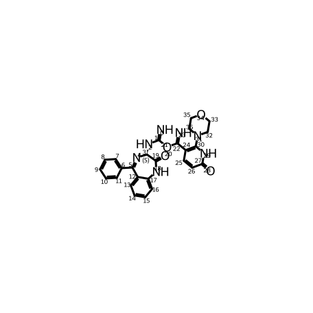 N=C(N[C@H]1N=C(c2ccccc2)c2ccccc2NC1=O)OC(=N)c1ccc(=O)[nH]c1N1CCOCC1